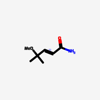 COC(C)(C)/C=C/C(N)=O